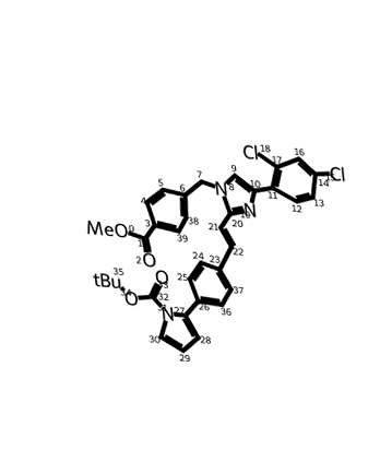 COC(=O)c1ccc(Cn2cc(-c3ccc(Cl)cc3Cl)nc2/C=C/c2ccc(-c3cccn3C(=O)OC(C)(C)C)cc2)cc1